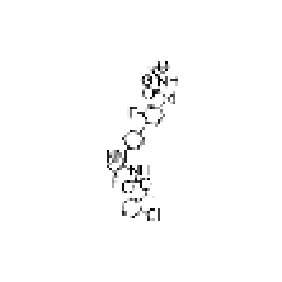 C[C@@H](OC(=O)Nc1c(F)cnn1-c1ccc(-c2ccc(C3(C(=O)NS(C)(=O)=O)CC3)cc2F)cc1)c1ccccc1Cl